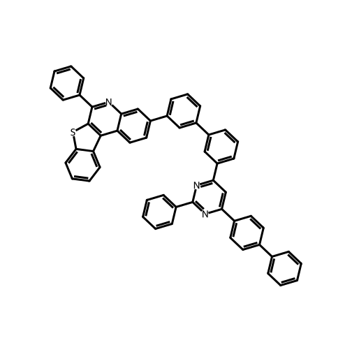 c1ccc(-c2ccc(-c3cc(-c4cccc(-c5cccc(-c6ccc7c(c6)nc(-c6ccccc6)c6sc8ccccc8c67)c5)c4)nc(-c4ccccc4)n3)cc2)cc1